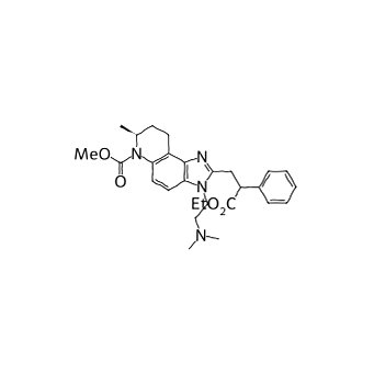 CCOC(=O)C(Cc1nc2c3c(ccc2n1CCN(C)C)N(C(=O)OC)[C@@H](C)CC3)c1ccccc1